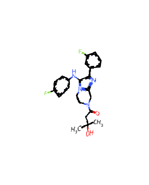 CC(C)(O)CC(=O)N1CCn2c(nc(-c3cccc(F)c3)c2Nc2ccc(F)cc2)C1